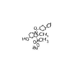 CCC(C)OC(=O)[C@H](C)c1c(C)n(C(=O)c2ccc(Cl)cc2)c2ccc(O)cc12